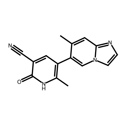 Cc1cc2nccn2cc1-c1cc(C#N)c(=O)[nH]c1C